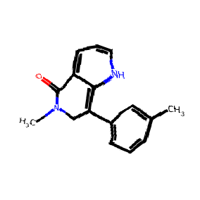 Cc1cccc(C2=C3NC=CC=C3C(=O)N(C)C2)c1